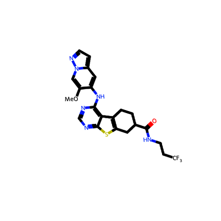 COc1cn2nccc2cc1Nc1ncnc2sc3c(c12)CCC(C(=O)NCCC(F)(F)F)C3